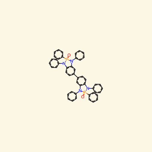 O=P1(c2ccccc2)N(c2ccccc2)c2ccc(-c3ccc4c(c3)N(c3ccccc3)P(=O)(c3ccccc3)N4c3ccccc3)cc2N1c1ccccc1